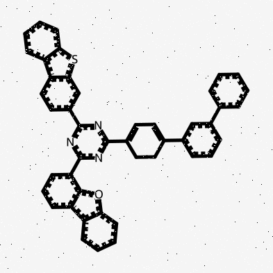 C1=C(c2cccc(-c3ccccc3)c2)CCC(c2nc(-c3ccc4c(c3)sc3ccccc34)nc(-c3cccc4c3oc3ccccc34)n2)=C1